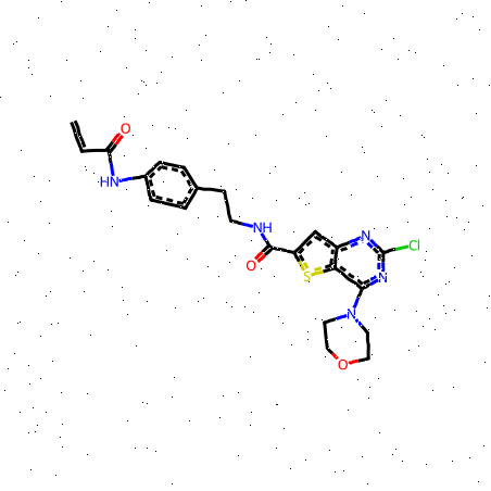 C=CC(=O)Nc1ccc(CCNC(=O)c2cc3nc(Cl)nc(N4CCOCC4)c3s2)cc1